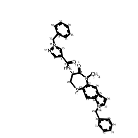 CN1C(=O)[C@@H](NC(=O)c2cnn(Cc3ccccc3)c2)CSc2cc3c(ccn3Cc3ccccc3)cc21